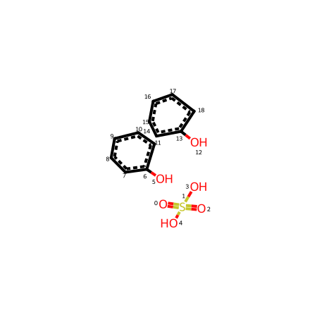 O=S(=O)(O)O.Oc1ccccc1.Oc1ccccc1